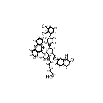 O=C1CCc2ccc(OCCCCN3CCN(c4cccc(Cl)c4Cl)CC3)cc2N1.OCCOCCN1CCN(C2=Nc3ccccc3Sc3ccccc32)CC1